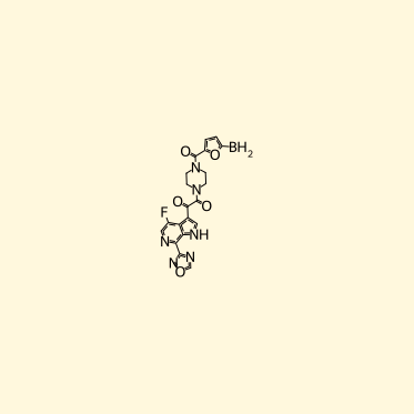 Bc1ccc(C(=O)N2CCN(C(=O)C(=O)c3c[nH]c4c(-c5ncon5)ncc(F)c34)CC2)o1